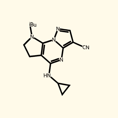 CCC(C)N1CCc2c(NC3CC3)nc3c(C#N)cnn3c21